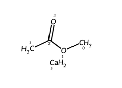 COC(C)=O.[CaH2]